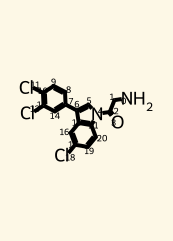 NCC(=O)n1cc(-c2ccc(Cl)c(Cl)c2)c2cc(Cl)ccc21